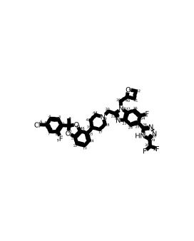 CC1(c2ccc(Cl)cc2F)Oc2cccc(C3CCN(Cc4nc5cc(-c6nnc(C(F)F)[nH]6)c(F)cc5n4CC4CCO4)CC3)c2O1